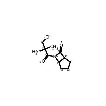 CCC(C)(C)C(=O)N1C(=O)C2CCCC21